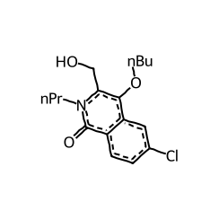 CCCCOc1c(CO)n(CCC)c(=O)c2ccc(Cl)cc12